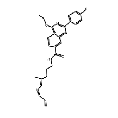 C=N/C=N\C=C(/C)CCCNC(=O)c1ccc2c(OCC)nc(-c3ccc(F)cc3)nc2c1